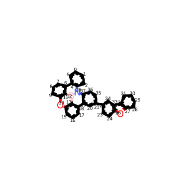 c1ccc2c(c1)-c1cccc3c1B1c4c(cccc4-c4cc(-c5ccc6oc7ccccc7c6c5)ccc4N12)O3